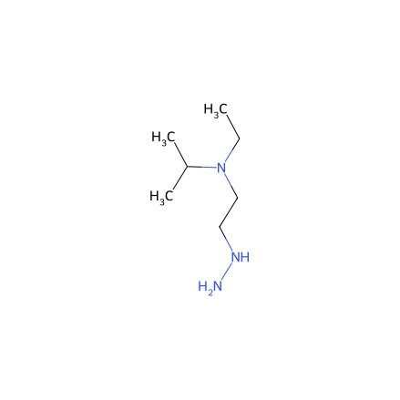 CCN(CCNN)C(C)C